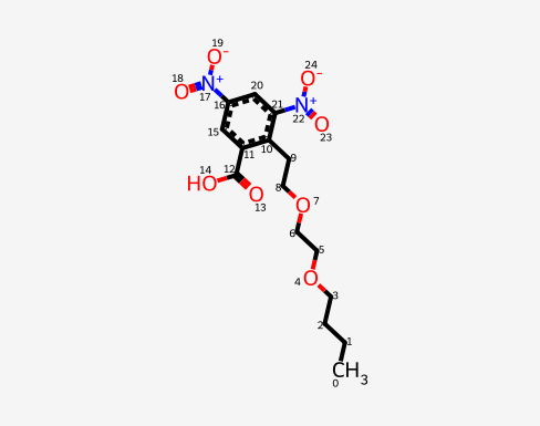 CCCCOCCOCCc1c(C(=O)O)cc([N+](=O)[O-])cc1[N+](=O)[O-]